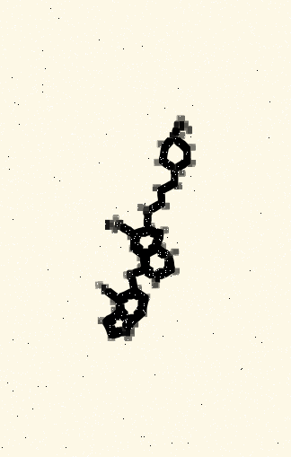 Cc1cc2c(Oc3ccc4[nH]ccc4c3F)ncnc2cc1OCCCN1CCN(C)CC1